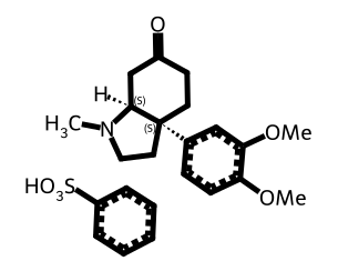 COc1ccc([C@@]23CCC(=O)C[C@@H]2N(C)CC3)cc1OC.O=S(=O)(O)c1ccccc1